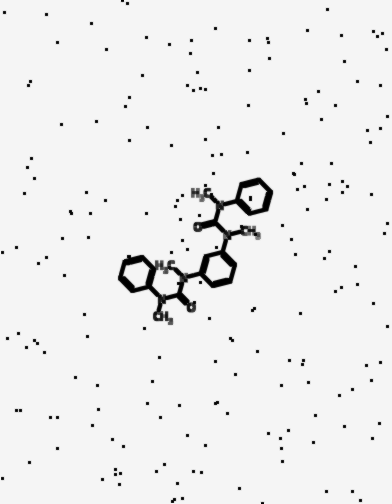 CN(C(=O)N(C)c1cccc(N(C)C(=O)N(C)c2ccccc2)c1)c1ccccc1